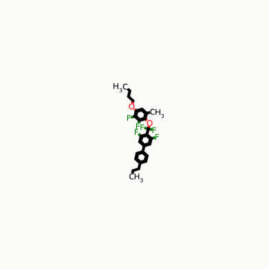 CCCCOc1cc(C)c(OC(F)(F)c2c(F)cc(-c3ccc(CCC)cc3)cc2F)c(F)c1F